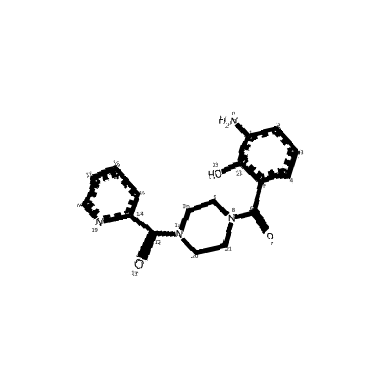 Nc1cccc(C(=O)N2CCN(C(=O)c3ccccn3)CC2)c1O